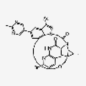 CC(=O)c1nn2c3c(cc(-c4cnc(C)nc4)cc13)CCCCCCCOC[C@@]13C[C@@H](C(=O)Nc4nc(Br)ccc4C)N(C(=O)C2)C1[C@@H]3C